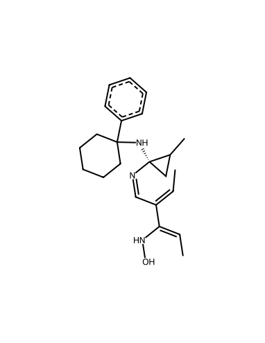 CC=C(NO)C(/C=N\[C@]1(NC2(c3ccccc3)CCCCC2)CC1C)=C/C